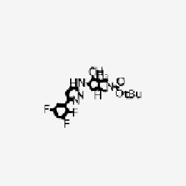 C[C@@H]1[C@H]2CN(C(=O)OC(C)(C)C)C[C@H]2C[C@@H]1Nc1ccc(-c2cc(F)cc(F)c2F)nn1